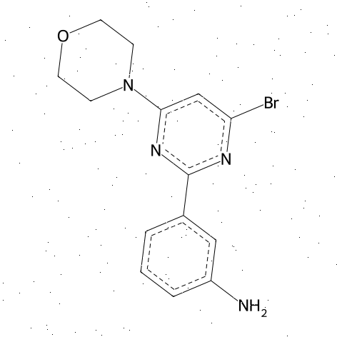 Nc1cccc(-c2nc(Br)cc(N3CCOCC3)n2)c1